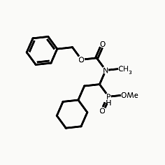 CO[PH](=O)C(CC1CCCCC1)N(C)C(=O)OCc1ccccc1